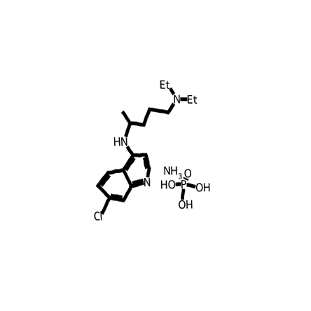 CCN(CC)CCCC(C)Nc1ccnc2cc(Cl)ccc12.N.O=P(O)(O)O